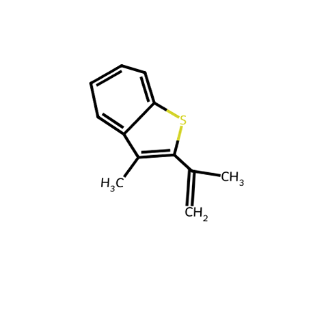 C=C(C)c1sc2ccccc2c1C